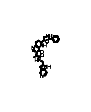 C[C@H](C(=O)NCc1cc2cnccc2[nH]1)n1cnc2c(c1=O)NC(C1CNC(c3ccccc3)O1)CC2